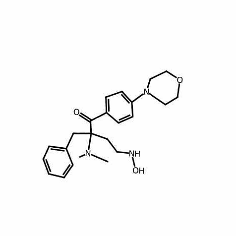 CN(C)C(CCNO)(Cc1ccccc1)C(=O)c1ccc(N2CCOCC2)cc1